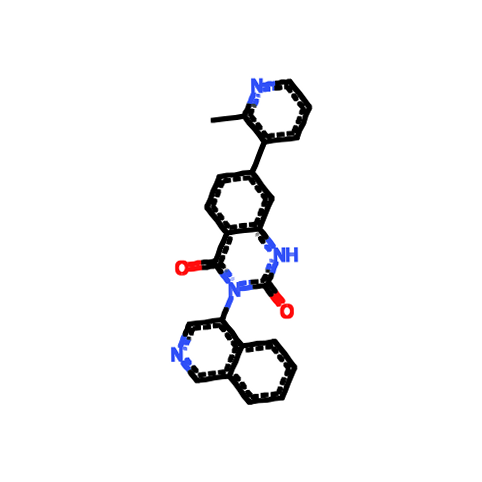 Cc1ncccc1-c1ccc2c(=O)n(-c3cncc4ccccc34)c(=O)[nH]c2c1